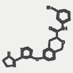 CC(C)(C)c1cccc(NC(=O)C2Cc3cc(Oc4ccnc(C5=NCCN5)c4)ccc3CO2)c1